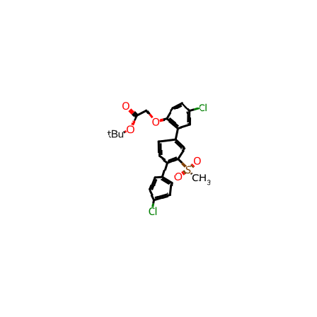 CC(C)(C)OC(=O)COc1ccc(Cl)cc1-c1ccc(-c2ccc(Cl)cc2)c(S(C)(=O)=O)c1